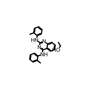 CCO.Cc1ccccc1Nc1nc(Nc2ccccc2C)c2ccccc2n1